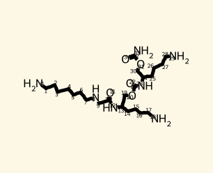 NCCCCCCCNCC(=O)NC(CCCCN)COC(=O)NC(CCCCN)COC(N)=O